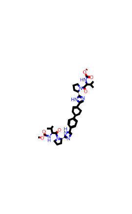 COC(=O)NC(C(=O)N1CCC[C@H]1c1ncc(C2=CCC(c3ccc(-c4cnc([C@@H]5CCCN5C(=O)[C@@H](NC(=O)OC)C(C)C)[nH]4)cc3)CC2)[nH]1)C(C)C